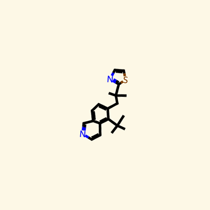 CC(C)(C)c1c(CC(C)(C)c2nccs2)ccc2cnccc12